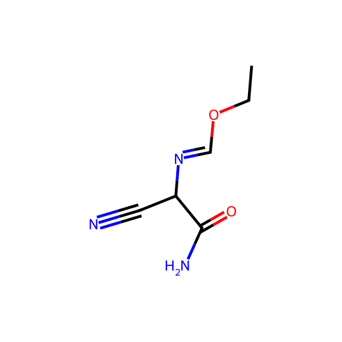 CCO/C=N/C(C#N)C(N)=O